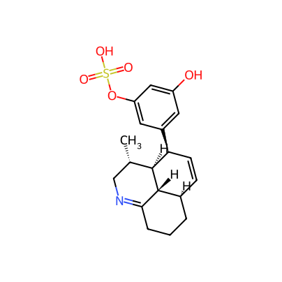 C[C@H]1CN=C2CCC[C@@H]3C=C[C@H](c4cc(O)cc(OS(=O)(=O)O)c4)[C@H]1[C@@H]23